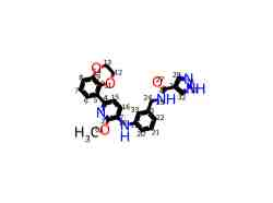 COc1nc(-c2cccc3c2OCCO3)ccc1Nc1cccc(CNC(=O)c2cn[nH]c2)c1